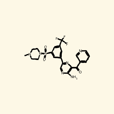 CN1CCN(S(=O)(=O)c2cc(-c3cnc(N)c(C(=O)c4cccnc4)n3)cc(C(F)(F)F)c2)CC1